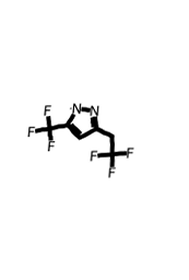 FC(F)(F)CC1=N[N]C(C(F)(F)F)=C1